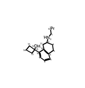 CC(C)CNC1CCc2cccc(C3(O)CCC3)c2C1